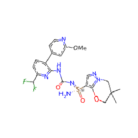 COc1cc(-c2ccc(C(F)F)nc2NC(=O)N=[S@](N)(=O)c2cnn3c2OCC(C)(C)C3)ccn1